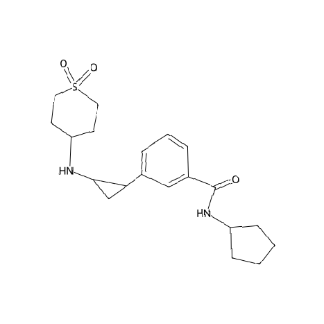 O=C(NC1CCCC1)c1cccc(C2CC2NC2CCS(=O)(=O)CC2)c1